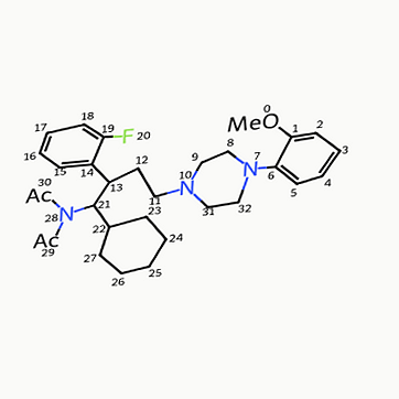 COc1ccccc1N1CCN(CCC(c2ccccc2F)C(C2CCCCC2)N(C(C)=O)C(C)=O)CC1